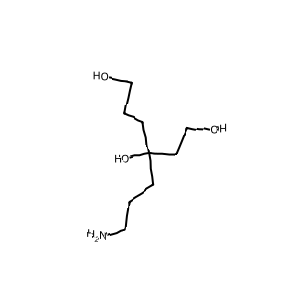 NCCCC(O)(CCO)CCCO